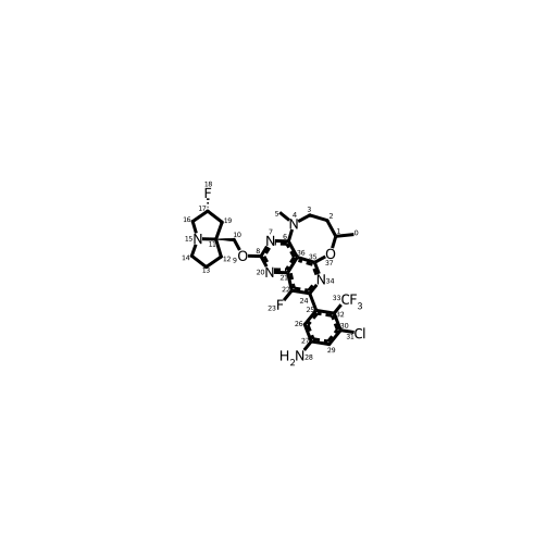 CC1CCN(C)c2nc(OC[C@@]34CCCN3C[C@H](F)C4)nc3c(F)c(-c4cc(N)cc(Cl)c4C(F)(F)F)nc(c23)O1